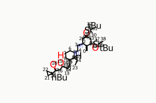 C=C1/C(=C\C=C2/CCC[C@]3(C)[C@@H]([C@H](C)C(O)CC(=O)C4(CCCC)CC4)CC[C@@H]23)C[C@@H](O[Si](C)(C)C(C)(C)C)C[C@@H]1O[Si](C)(C)C(C)(C)C